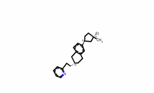 CC[C@@]1(C)CC[C@H](c2ccc3c(c2)CC[C@H](CCc2ccccn2)C3)C1